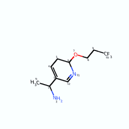 CC(N)C1=CCC(OCCC(F)(F)F)N=C1